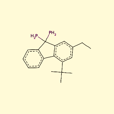 CCc1cc(C(C)(C)C)c2c(c1)C(P)(P)c1ccccc1-2